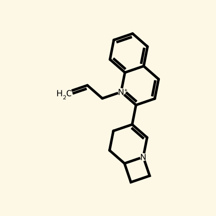 C=CC[n+]1c(C2=CN3CCC3CC2)ccc2ccccc21